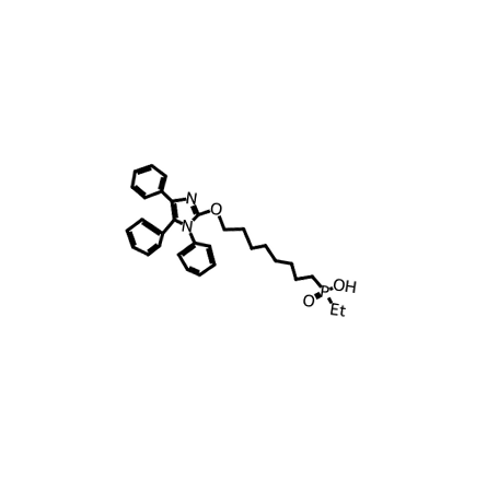 CCP(=O)(O)CCCCCCCCOc1nc(-c2ccccc2)c(-c2ccccc2)n1-c1ccccc1